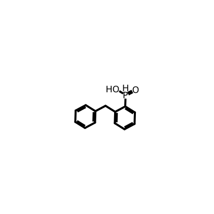 O=[PH](O)c1ccccc1Cc1ccccc1